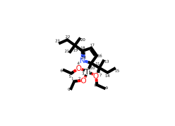 CC[O][Ti]([O]CC)([O]CC)[C]1(C(C)(C)CC)C=CC(C(C)(C)CC)=N1